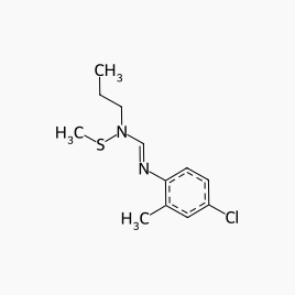 CCCN(C=Nc1ccc(Cl)cc1C)SC